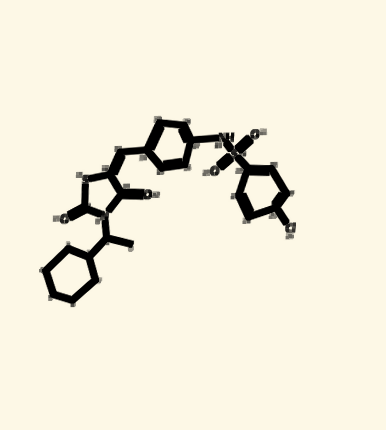 CC(C1CCCCC1)N1C(=O)SC(=Cc2ccc(NS(=O)(=O)c3ccc(Cl)cc3)cc2)C1=O